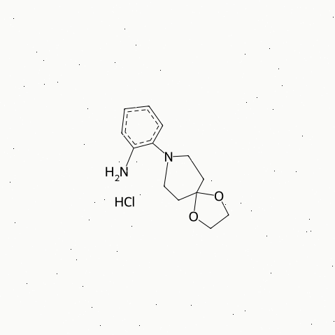 Cl.Nc1ccccc1N1CCC2(CC1)OCCO2